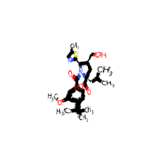 COc1cc(C(=O)N2[C@@H](c3ncc(C)s3)[C@@H](CO)C[C@@]2(CC(C)C)C(=O)O)ccc1C(C)(C)C